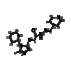 Cc1nnc(SCC(=O)N/N=C/c2ccncc2)n1-c1ccccc1